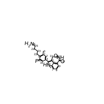 Cc1cc(-c2[nH]c3cccc4c3c2CONC4=O)cc(F)c1CCCCN